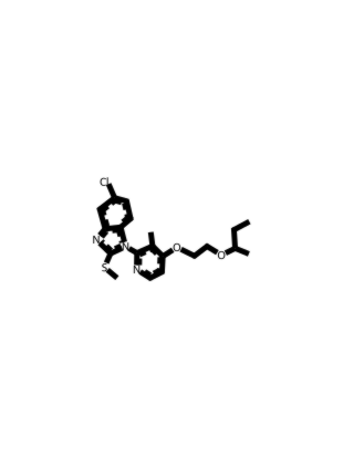 CCC(C)OCCOc1ccnc(-n2c(SC)nc3cc(Cl)ccc32)c1C